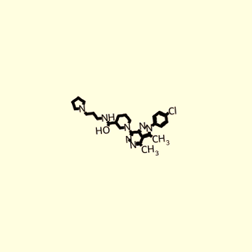 Cc1nnc(N2CCCC(C(O)NCCCN3CCCC3)C2)c2nn(-c3ccc(Cl)cc3)c(C)c12